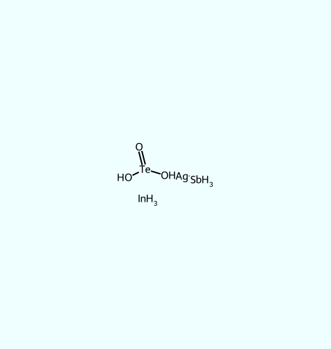 O=[Te](O)O.[Ag].[InH3].[SbH3]